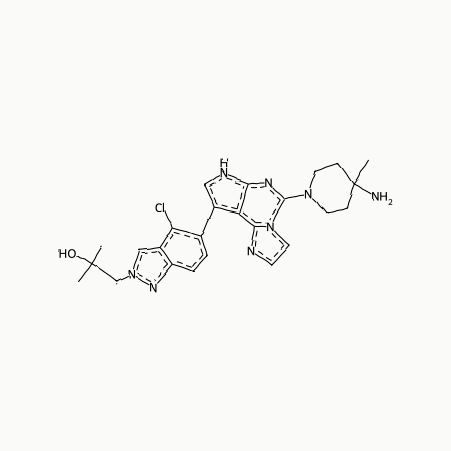 CC(C)(O)[CH]n1cc2c(Cl)c(-c3c[nH]c4nc(N5CCC(C)(N)CC5)n5ccnc5c34)ccc2n1